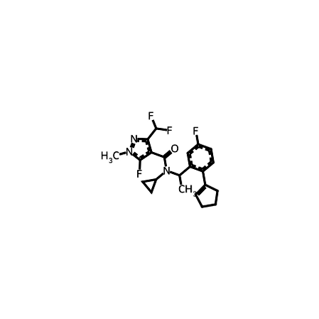 CC(c1cc(F)ccc1C1=CCCC1)N(C(=O)c1c(C(F)F)nn(C)c1F)C1CC1